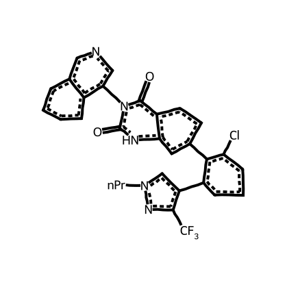 CCCn1cc(-c2cccc(Cl)c2-c2ccc3c(=O)n(-c4cncc5ccccc45)c(=O)[nH]c3c2)c(C(F)(F)F)n1